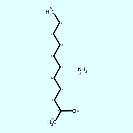 CCCCCCCCCC(C)Cl.N